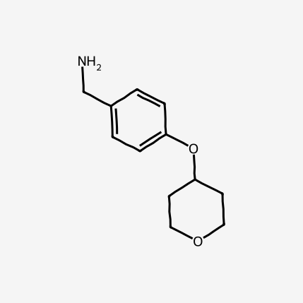 NCc1ccc(OC2CCOCC2)cc1